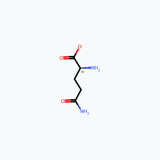 NC(=O)CC[C@H](N)C([O])=O